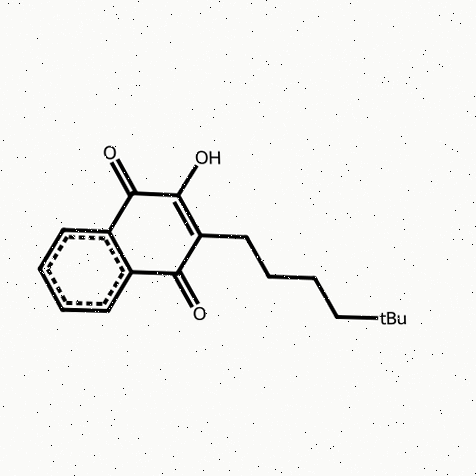 CC(C)(C)CCCCC1=C(O)C(=O)c2ccccc2C1=O